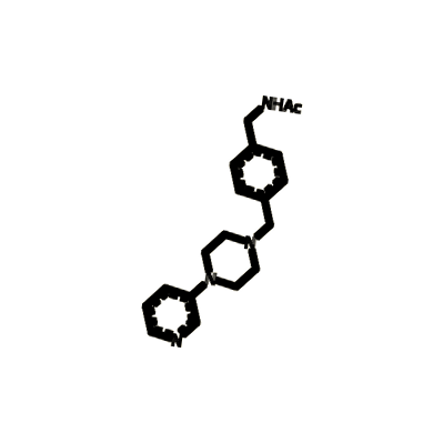 CC(=O)NCc1ccc(CN2CCN(c3cccnc3)CC2)cc1